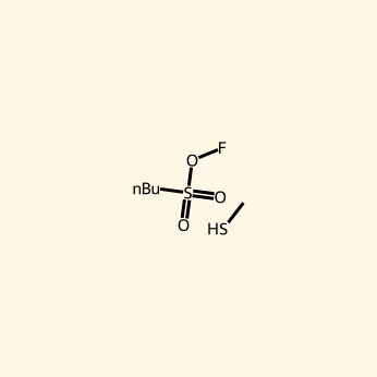 CCCCS(=O)(=O)OF.CS